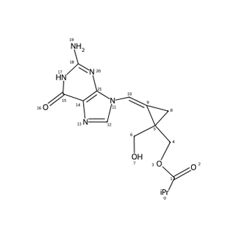 CC(C)C(=O)OCC1(CO)CC1=Cn1cnc2c(=O)[nH]c(N)nc21